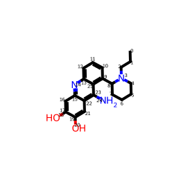 CCCN1CCCCC1c1cccc2nc3cc(O)c(O)cc3c(N)c12